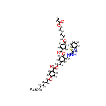 C=CC(=O)OCCCCCCOc1ccc(C(=O)Oc2ccc(CCOC(=O)c3ccc(OCCCCCCOC(C)=O)cc3)cc2/C=N/Nc2nc3ccccc3s2)cc1